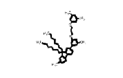 CCCCCCCCC1(CCCCCCCC)c2cc(C)ccc2-c2ccc(-c3cc(C)cc(OCCCOc4cc(C)cc(C)c4)c3)cc21